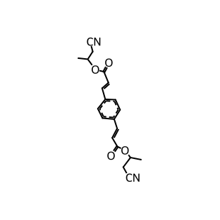 CC(CC#N)OC(=O)C=Cc1ccc(C=CC(=O)OC(C)CC#N)cc1